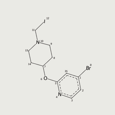 Brc1ccnc(OC2CCN(CI)CC2)c1